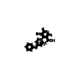 Cc1nc(C)c(C(O)C(=O)O)c(N2CCC(Cc3ccccc3)CC2)c1Br